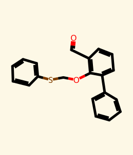 O=Cc1cccc(-c2ccccc2)c1OCSc1ccccc1